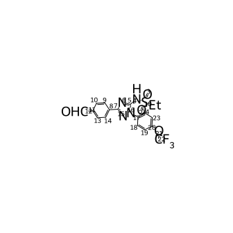 CCS(=O)(=O)Nc1nc(-c2ccc(C=O)cc2)nn1-c1ccc(OC(F)(F)F)cc1